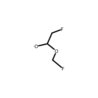 [O]C(CF)OCF